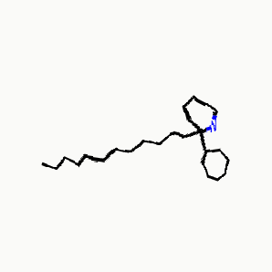 CCCCCCCCCCCCC1([C]2CCCCCC2)C=CC=CC=N1